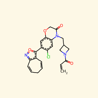 C=CC(=O)N1CC(CN2C(=O)COc3cc(-c4onc5c4C=CCC=C5)c(Cl)cc32)C1